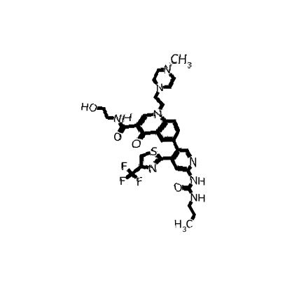 CCCNC(=O)Nc1cc(C2=NC(C(F)(F)F)CS2)c(-c2ccc3c(c2)c(=O)c(C(=O)NCCO)cn3CCN2CCN(C)CC2)cn1